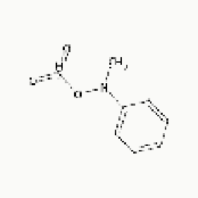 CN(O[SH](=O)=O)c1[c]cccc1